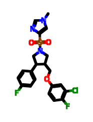 Cn1cnc(S(=O)(=O)N2CC(COc3ccc(F)c(Cl)c3)C(c3ccc(F)cc3)C2)c1